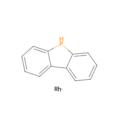 [Rh].c1ccc2c(c1)[pH]c1ccccc12